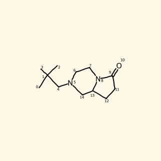 CC(C)(C)CN1CCN2C(=O)CCC2C1